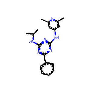 Cc1cc(Nc2nc(NC(C)C)nc(-c3ccccc3)n2)cc(C)n1